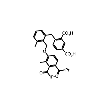 Cc1cccc(Cc2ccc(C(=O)O)cc2C(=O)O)c1COc1ccc(C(=O)C(C)C)c(C(=O)C(C)C)c1C